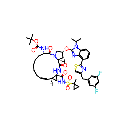 CC(C)n1c(O[C@@H]2C[C@H]3C(=O)N[C@]4(C(=O)NS(=O)(=O)C5(C)CC5)C[C@H]4/C=C\CCCCC[C@H](NC(=O)OC(C)(C)C)C(=O)N3C2)nc2c(-c3nc(Cc4cc(F)cc(F)c4)cs3)cccc21